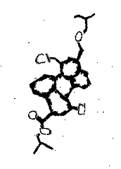 CC(C)COCc1cc(Cl)c2c3cccc4c(C(=O)OCC(C)C)cc(Cl)c(c5cccc1c52)c43